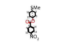 CS[C@H]1CC[C@@H](OC(=O)c2ccc([N+](=O)[O-])cc2)CC1